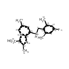 Cc1cc(NCc2c(C)cc(F)cc2C)c2nc(C)c(C(=O)O)n2c1